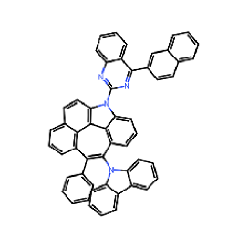 c1ccc(C2=C(n3c4ccccc4c4ccccc43)c3cccc4c3c3c5c2cccc5ccc3n4-c2nc(-c3ccc4ccccc4c3)c3ccccc3n2)cc1